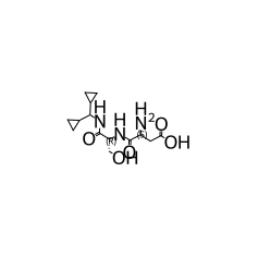 N[C@@H](CC(=O)O)C(=O)N[C@H](CO)C(=O)NC(C1CC1)C1CC1